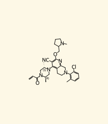 C=CC(=O)N1C[C@H](C)N(c2c(C#N)c(OCC3CCCN3C)nc3c2CCN(c2c(C)cccc2Cl)C3)C[C@H]1C